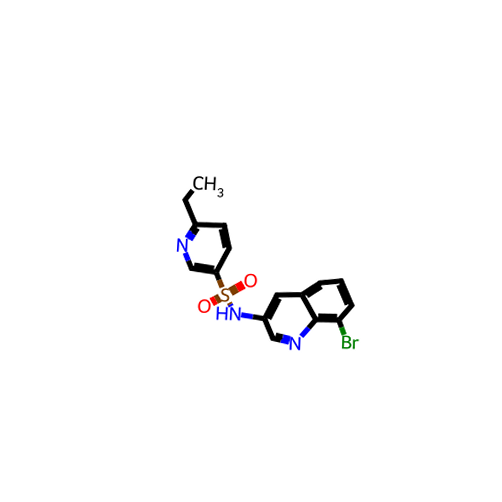 CCc1ccc(S(=O)(=O)Nc2cnc3c(Br)cccc3c2)cn1